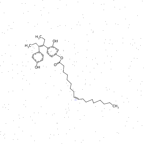 CCCCCCCC/C=C\CCCCCCCC(=O)Oc1ccc(C(CC)=C(CC)c2ccc(O)cc2)c(O)c1